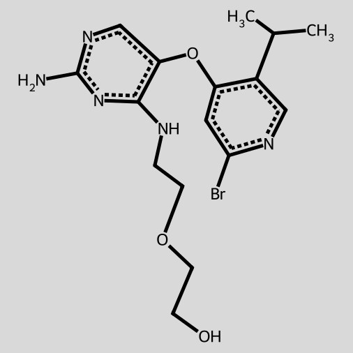 CC(C)c1cnc(Br)cc1Oc1cnc(N)nc1NCCOCCO